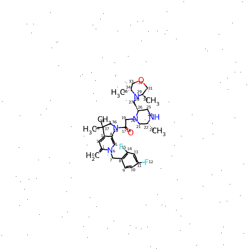 C=C1C=C2C(=CN1Cc1ccc(F)cc1F)N(C(=O)CN1C[C@@H](C)NC[C@@H]1CN1[C@H](C)COC[C@H]1C)CC2(C)C